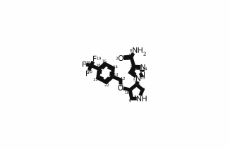 NC(=O)c1cn(C2CNCC2OCc2ccc(C(F)(F)F)cc2)nn1